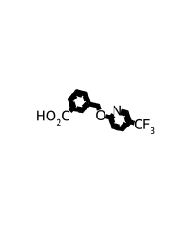 O=C(O)c1cccc(COc2ccc(C(F)(F)F)cn2)c1